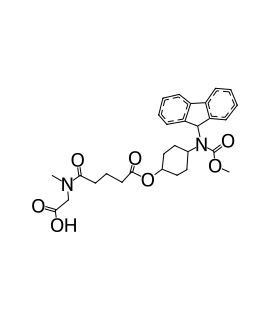 COC(=O)N(C1CCC(OC(=O)CCCC(=O)N(C)CC(=O)O)CC1)C1c2ccccc2-c2ccccc21